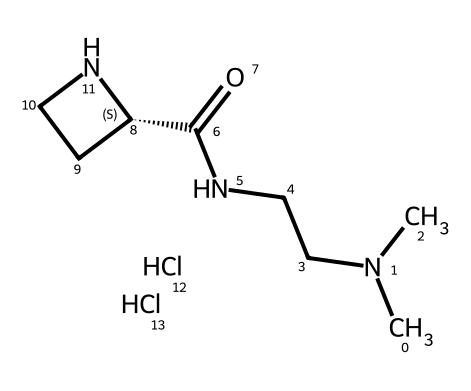 CN(C)CCNC(=O)[C@@H]1CCN1.Cl.Cl